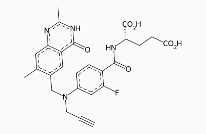 C#CCN(Cc1cc2c(=O)[nH]c(C)nc2cc1C)c1ccc(C(=O)N[C@@H](CCC(=O)O)C(=O)O)c(F)c1